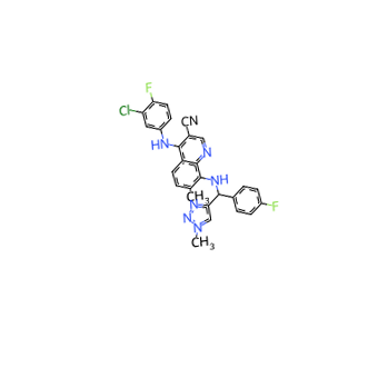 Cc1ccc2c(Nc3ccc(F)c(Cl)c3)c(C#N)cnc2c1NC(c1ccc(F)cc1)c1cn(C)nn1